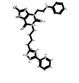 O=c1c2[nH]c(Cl)nc2n(CCOc2ccccc2)c(=O)n1CCCCc1nc(-c2ccccn2)no1